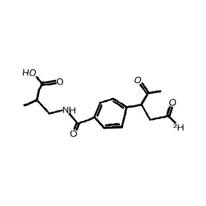 [2H]C(=O)CC(C(C)=O)c1ccc(C(=O)NCC(C)C(=O)O)cc1